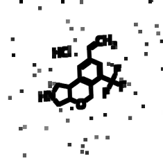 C=Cc1cc2c(c(C(F)(F)F)c1)COC1CNCC21.Cl